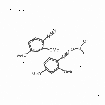 COc1ccc([N+]#N)c(OC)c1.COc1ccc([N+]#N)c(OC)c1.[O-]B([O-])F